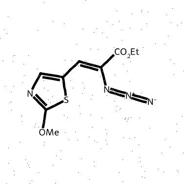 CCOC(=O)C(=Cc1cnc(OC)s1)N=[N+]=[N-]